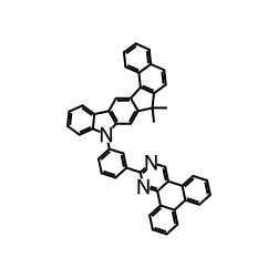 CC1(C)c2cc3c(cc2-c2c1ccc1ccccc21)c1ccccc1n3-c1cccc(-c2ncc3c4ccccc4c4ccccc4c3n2)c1